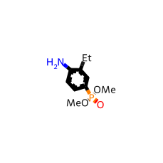 CCc1cc(P(=O)(OC)OC)ccc1N